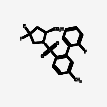 Cc1ccc(S(=O)(=O)N2CC(F)(F)C[C@H]2C(=O)O)c(-c2ccccc2F)c1